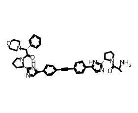 CC(N)C(=O)N1CCC[C@H]1c1ncc(-c2ccc(C#Cc3ccc(-c4cnc([C@@H]5CCCN5C(=O)[C@@H](c5ccccc5)N5CCOCC5)[nH]4)cc3)cc2)[nH]1